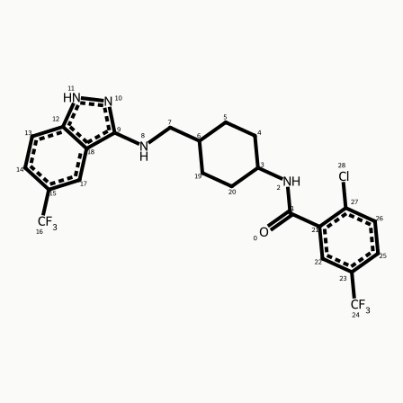 O=C(NC1CCC(CNc2n[nH]c3ccc(C(F)(F)F)cc23)CC1)c1cc(C(F)(F)F)ccc1Cl